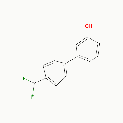 Oc1cccc(-c2ccc(C(F)F)cc2)c1